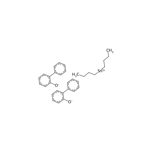 CCC[CH2][Sn+2][CH2]CCC.[O-]c1ccccc1-c1ccccc1.[O-]c1ccccc1-c1ccccc1